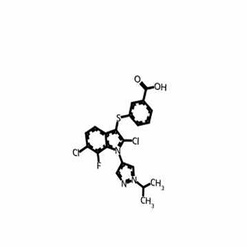 CC(C)n1cc(-n2c(Cl)c(Sc3cccc(C(=O)O)c3)c3ccc(Cl)c(F)c32)cn1